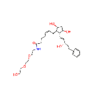 O=C(CCC/C=C\C[C@@H]1[C@@H](/C=C/[C@@H](O)CCc2ccccc2)[C@H](O)C[C@@H]1O)NCCOCCOCCO